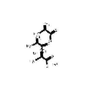 C=C(C)C(=O)[O-].C=C(C)C(=O)[O-].C=C(C)C(=O)[O-].[Fe+3].[LiH]